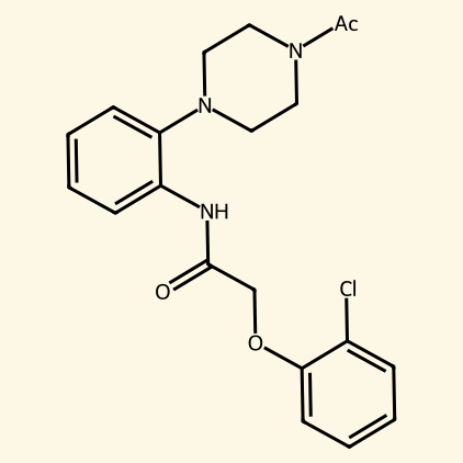 CC(=O)N1CCN(c2ccccc2NC(=O)COc2ccccc2Cl)CC1